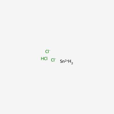 Cl.[Cl-].[Cl-].[SnH2+2]